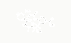 CC(NC(=O)N1CCOCC1)NC(C)(O)C(C)(C)c1cc(C(=O)O)ccc1OC(=O)C(=O)O